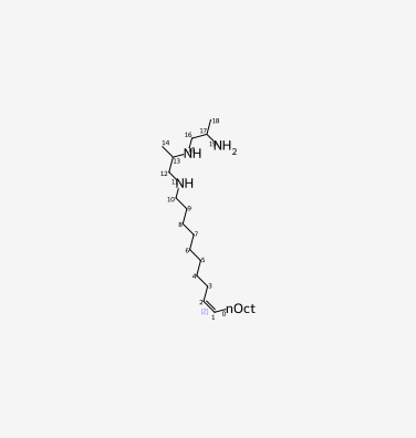 CCCCCCCC/C=C\CCCCCCCCNCC(C)NCC(C)N